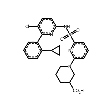 O=C(O)C1CCCN(c2cccc(S(=O)(=O)Nc3ccc(Cl)c(-c4ccccc4C4CC4)n3)n2)C1